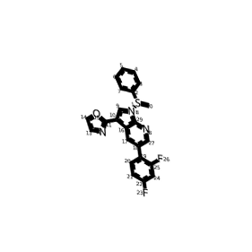 C=S(c1ccccc1)n1cc(-c2ncco2)c2cc(-c3ccc(F)cc3F)cnc21